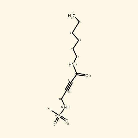 CCCCCCNC(=O)C#CCNS(=O)(=O)I